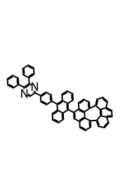 c1ccc(-c2ncc(-c3ccc(-c4c5ccccc5c(-c5cc6cccc7c8cccc9ccc%10cccc(c%11cccc5c%11c67)c%10c98)c5ccccc45)cc3)nc2-c2ccccc2)cc1